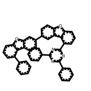 c1ccc(-c2nc(-c3ccccc3)nc(-c3cccc4oc5ccc(-c6ccc7c(c6)oc6cccc(-c8ccccc8)c67)cc5c34)n2)cc1